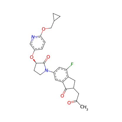 CC(=O)CC1Cc2c(F)cc(N3CC[C@@H](Oc4ccc(OCC5CC5)nc4)C3=O)cc2C1=O